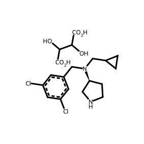 Clc1cc(Cl)cc(CN(CC2CC2)[C@H]2CCNC2)c1.O=C(O)C(O)C(O)C(=O)O